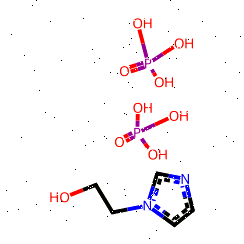 O=P(O)(O)O.O=P(O)(O)O.OCCn1ccnc1